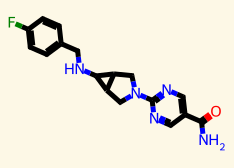 NC(=O)c1cnc(N2CC3C(C2)C3NCc2ccc(F)cc2)nc1